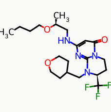 CCCCO[C@@H](C)CNc1cc(=O)n2c(n1)N(CC1CCOCC1)[C@H](C(F)(F)F)CC2